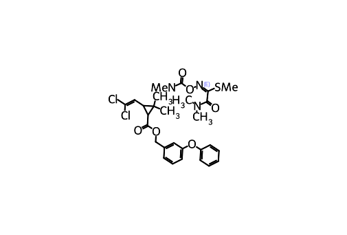 CC1(C)C(C=C(Cl)Cl)C1C(=O)OCc1cccc(Oc2ccccc2)c1.CNC(=O)O/N=C(/SC)C(=O)N(C)C